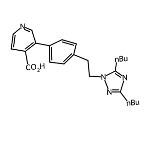 CCCCc1nc(CCCC)n(CCc2ccc(-c3cnccc3C(=O)O)cc2)n1